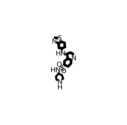 O=S(=O)(NC1CCNCC1)c1ccc2nccc(Nc3ccc4scnc4c3)c2c1